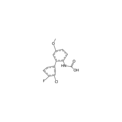 COc1ccc(NC(=O)O)c(-c2ccc(F)c(Cl)c2)c1